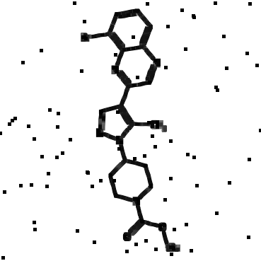 Cc1c(-c2cnc3cccc(Br)c3n2)cnn1C1CCN(C(=O)OC(C)(C)C)CC1